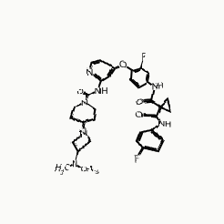 CN(C)C1CN(C2CCN(C(=O)Nc3cc(Oc4ccc(NC(=O)C5(C(=O)Nc6ccc(F)cc6)CC5)cc4F)ccn3)CC2)C1